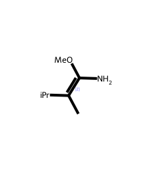 CO/C(N)=C(/C)C(C)C